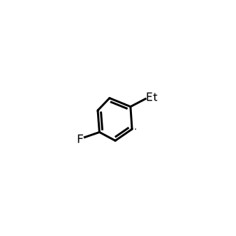 CCc1[c]cc(F)cc1